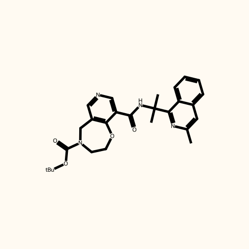 Cc1cc2ccccc2c(C(C)(C)NC(=O)c2cncc3c2OCCN(C(=O)OC(C)(C)C)C3)n1